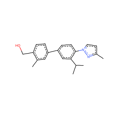 Cc1ccn(-c2ccc(-c3ccc(CO)c(C)c3)cc2C(C)C)n1